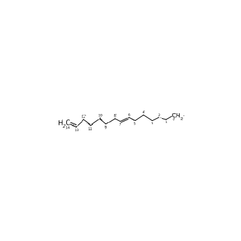 [CH2]CCCCCC=CCCCCCC=C